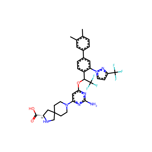 Cc1ccc(-c2ccc(C(Oc3cc(N4CCC5(CC4)CN[C@H](C(=O)O)C5)nc(N)n3)C(F)(F)F)c(-n3ccc(C(F)(F)F)n3)c2)cc1C